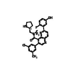 Cc1cc(Cl)cc(-c2cnc3ccc(-c4cc(O)ccc4F)nc3c2C(=O)N(C)C[C@@H]2CCCN2)c1